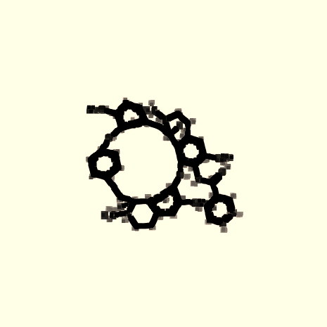 COc1ccc2cc1Oc1ccc(cc1)C[C@H]1c3cc(c(OC)cc3CCN1C)Oc1c(OC(=O)c3ccnnc3)c(OC)cc3c1[C@H](C2)N(C)CC3